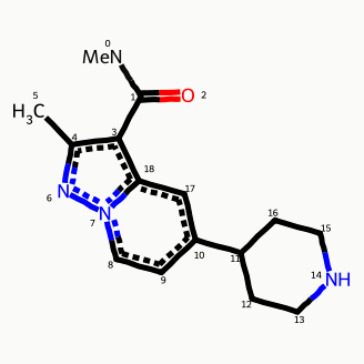 CNC(=O)c1c(C)nn2ccc(C3CCNCC3)cc12